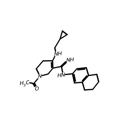 CC(=O)N1CCC(NCC2CC2)=C(C(=N)Nc2ccc3c(c2)CCCC3)C1